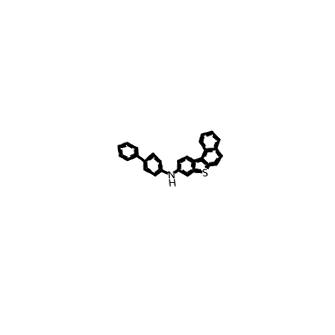 c1ccc(-c2ccc(Nc3ccc4c(c3)sc3ccc5ccccc5c34)cc2)cc1